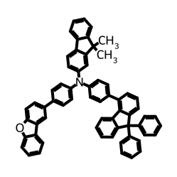 CC1(C)c2ccccc2-c2ccc(N(c3ccc(-c4ccc5oc6ccccc6c5c4)cc3)c3ccc(-c4cccc5c4-c4ccccc4C5(c4ccccc4)c4ccccc4)cc3)cc21